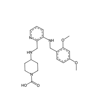 COc1ccc(CNc2cccnc2CNC2CCN(C(=O)O)CC2)c(OC)c1